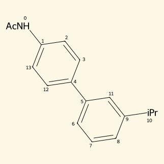 CC(=O)Nc1ccc(-c2cccc(C(C)C)c2)cc1